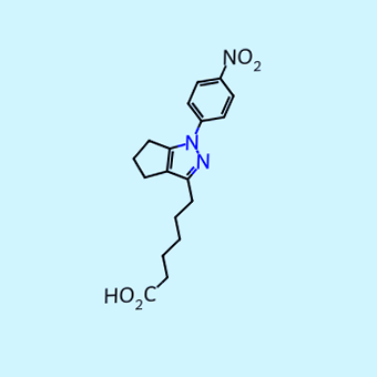 O=C(O)CCCCCc1nn(-c2ccc([N+](=O)[O-])cc2)c2c1CCC2